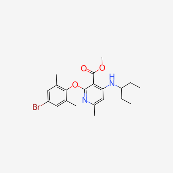 CCC(CC)Nc1cc(C)nc(Oc2c(C)cc(Br)cc2C)c1C(=O)OC